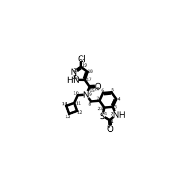 O=C1NC2=CC=CC(CN(CC3CCC3)C(=O)c3cc(Cl)n[nH]3)C2S1